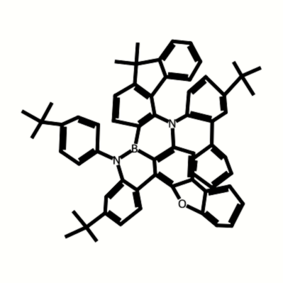 CC(C)(C)c1ccc(N2B3c4ccc5c(c4N(c4ccc(C(C)(C)C)cc4-c4ccccc4)c4cc6c(oc7ccccc76)c(c43)-c3ccc(C(C)(C)C)cc32)-c2ccccc2C5(C)C)cc1